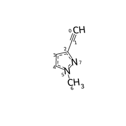 C#Cc1ccn(C)n1